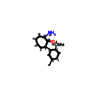 COc1ccc(C)cc1-c1ccccc(N)c1=O